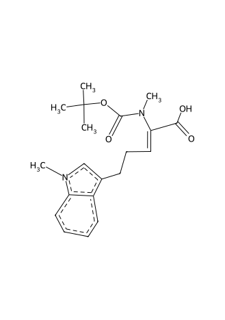 CN(C(=O)OC(C)(C)C)C(=CCCc1cn(C)c2ccccc12)C(=O)O